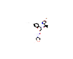 COc1ccc2c(c1)O[C@@H](C(=O)NC1CCS(O)(O)CC1)C[C@H]2NC(=O)C1(c2ccc3c(c2)OC(F)(F)O3)CC1